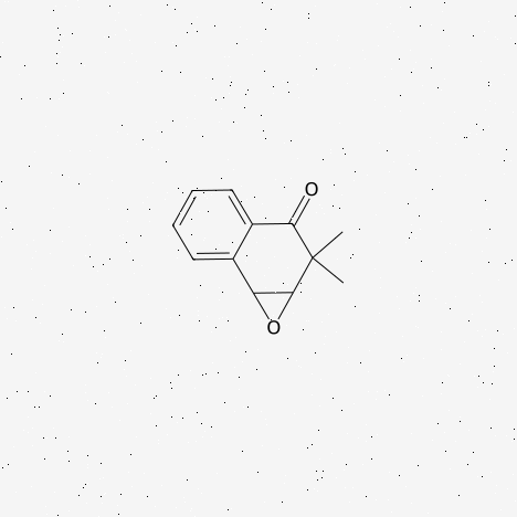 CC1(C)C(=O)c2ccccc2C2OC21